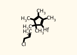 C=CCCl.CC1=C(C)C(C)(C)[C]([Hf])=C1C